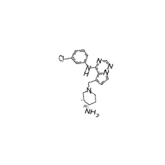 N[C@@H]1[CH]CN(Cc2ccn3ncnc(Nc4cccc(Cl)c4)c23)CC1